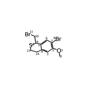 COc1cc2c(cc1Br)C(CBr)SCC2